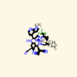 Cn1ccc2c([C@H](Nc3cc(C#N)c4ncc(C#N)c(NCC(C)(C)C)c4c3)c3cn(C4(C(F)(F)F)CC4)nn3)ccnc21